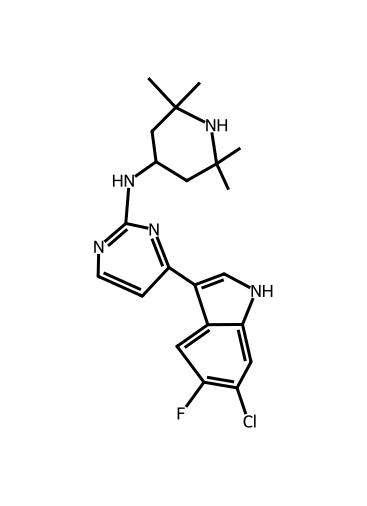 CC1(C)CC(Nc2nccc(-c3c[nH]c4cc(Cl)c(F)cc34)n2)CC(C)(C)N1